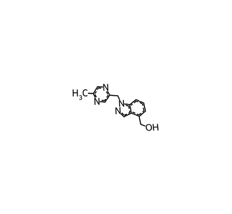 Cc1cnc(Cn2ncc3c(CO)cccc32)cn1